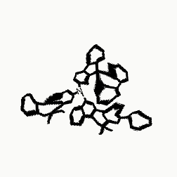 CC1(C)c2ccccc2-c2ccc(N(c3ccc4c(c3)C3(c5ccccc5-c5ccccc53)c3ccccc3-4)c3cc4c(c5ccccc35)C(C)(C)c3cc(-c5ccccc5)ccc3-4)cc21